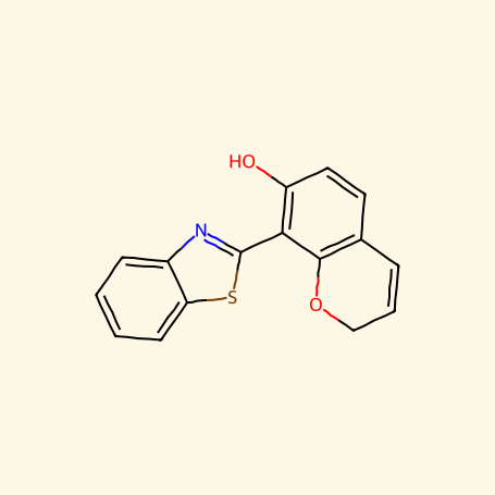 Oc1ccc2c(c1-c1nc3ccccc3s1)OCC=C2